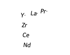 [Ce].[La].[Nd].[Pr].[Y].[Zr]